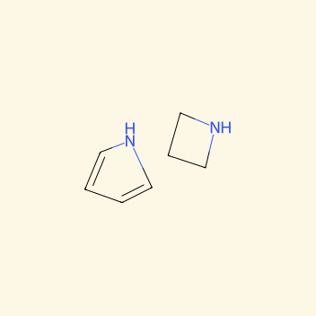 C1CNC1.c1cc[nH]c1